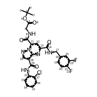 CC(C)(C)OC(=O)CNC(=O)c1cc(C(=O)NCc2ccc(F)c(F)c2)nc2c(C(=O)Nc3ccccc3Cl)cnn12